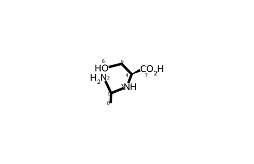 CC(N)N[C@@H](CO)C(=O)O